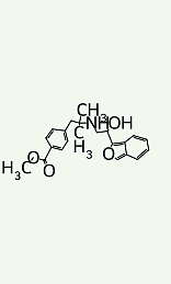 COC(=O)c1ccc(CC(C)(C)NCC(O)c2occ3ccccc23)cc1